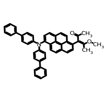 CO/C(C)=C(\C(C)=O)c1ccc2ccc3c(N(c4ccc(-c5ccccc5)cc4)c4ccc(-c5ccccc5)cc4)ccc4ccc1c2c43